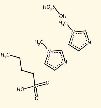 CCCCS(=O)(=O)O.Cn1ccnc1.Cn1ccnc1.O=S(=O)(O)O